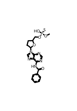 COP(O)(=S)OCC1CCC(n2cnc3c(NC(=O)c4ccccc4)ncnc32)O1